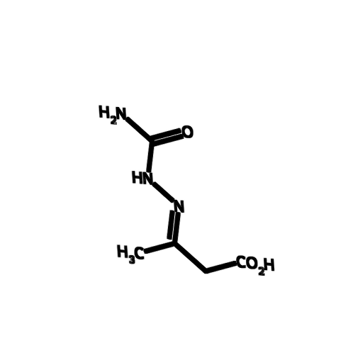 CC(CC(=O)O)=NNC(N)=O